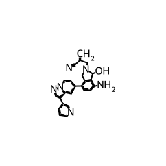 C=C(C#N)CN1Cc2c(-c3ccn4ncc(-c5cccnc5)c4c3)ccc(N)c2C1O